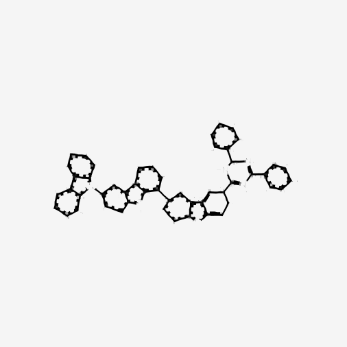 C1=c2sc3ccc(-c4cccc5c4sc4ccc(-n6c7ccccc7c7ccccc76)cc45)cc3c2=CC(C2=NC(c3ccccc3)=NC(c3ccccc3)N2)C1